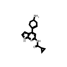 NC1CC=C(c2cc(NC(=O)C3CC3)nc3[nH]ccc23)CC1